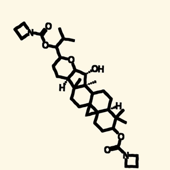 CC(C)C(OC(=O)N1CCC1)C1CC[C@H]2C(O1)[C@H](O)[C@@]1(C)C3CC[C@H]4C(C)(C)C(OC(=O)N5CCC5)CCC45CC35CCC21C